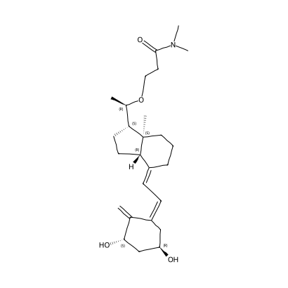 C=C1C(=CC=C2CCC[C@]3(C)[C@@H]([C@@H](C)OCCC(=O)N(C)C)CC[C@@H]23)C[C@@H](O)C[C@@H]1O